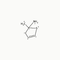 CC1(N)CC=CS1